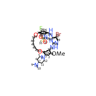 COc1cc(N2CCC(N(C)C)CC2)c2cc1Nc1ncc(Br)c(n1)Nc1cc(F)c(cc1N(C)S(C)(=O)=O)OCCCCCO2